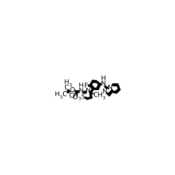 CC(C)(C)OC(=O)NC1=N[C@](C)(c2cc(Nc3ncc4ccccn34)ccc2F)CCS1